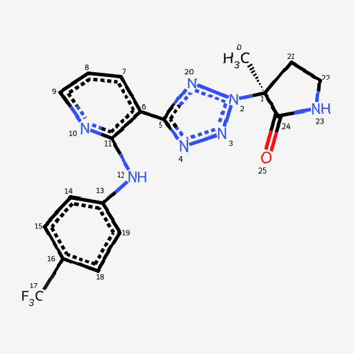 C[C@]1(n2nnc(-c3cccnc3Nc3ccc(C(F)(F)F)cc3)n2)CCNC1=O